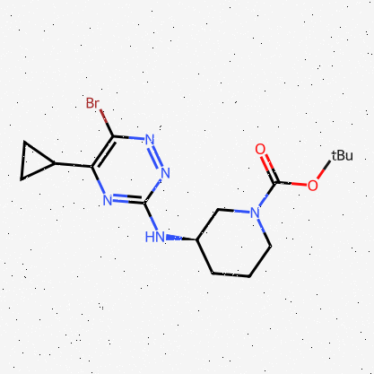 CC(C)(C)OC(=O)N1CCC[C@@H](Nc2nnc(Br)c(C3CC3)n2)C1